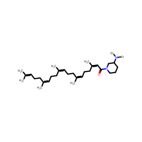 CCN(CC)C1CCCN(C(=O)C=C(C)CCC=C(C)CCC=C(C)CCC=C(C)CCC=C(C)C)C1